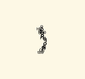 CC(C)(C)OC(=O)c1ccc(N2CCC(CN3CCN(c4cc5c(cc4F)C(=O)N(C4CCC(=O)NC4=O)C5=O)CC3)CC2)nn1